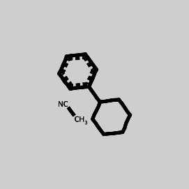 CC#N.c1ccc(C2CCCCC2)cc1